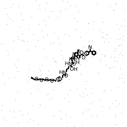 C#CCOCCOCCOCCOCCN1CCN(CCC(=O)NCCCC[C@@H](CO)NC(=O)c2ncn(-c3ncc(OC)c4c(C(=O)C(=O)N5CCC(=C(C#N)c6ccccc6)CC5)c[nH]c34)n2)CC1